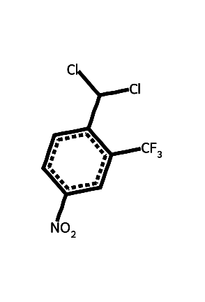 O=[N+]([O-])c1ccc(C(Cl)Cl)c(C(F)(F)F)c1